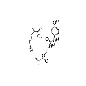 C=C(C)C(=O)OCCNC(=O)Nc1ccc(O)cc1.C=C(CC=CC#N)C(=O)OC